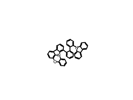 c1ccc2c(c1)Oc1cccc3c4cccc(-c5ccccc5-c5ccccc5-n5c6ccccc6c6ccccc65)c4n-2c13